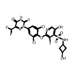 O=c1[nH]c(=O)n(-c2cc(Cl)c(Oc3ncc(O)c(S(=O)(=O)NC4CC(O)C4)c3F)c(Cl)c2)nc1C(F)F